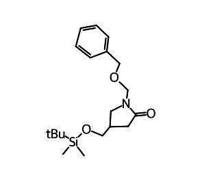 CC(C)(C)[Si](C)(C)OCC1CC(=O)N(COCc2ccccc2)C1